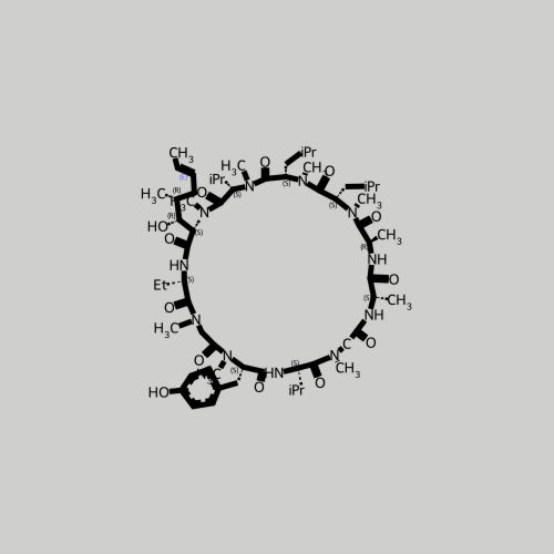 C/C=C/C[C@@H](C)[C@@H](O)[C@H]1C(=O)N[C@@H](CC)C(=O)N(C)CC(=O)N(C)[C@@H](Cc2ccc(O)cc2)C(=O)N[C@@H](C(C)C)C(=O)N(C)CC(=O)N[C@@H](C)C(=O)N[C@H](C)C(=O)N(C)[C@@H](CC(C)C)C(=O)N(C)[C@@H](CC(C)C)C(=O)N(C)[C@@H](C(C)C)C(=O)N1C